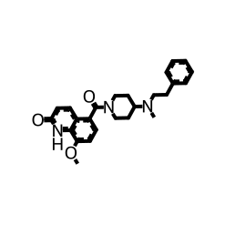 COc1ccc(C(=O)N2CCC(N(C)CCc3ccccc3)CC2)c2ccc(=O)[nH]c12